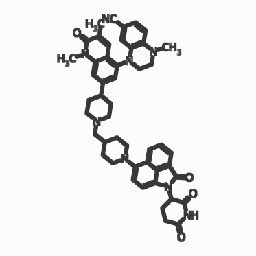 Cc1cc2c(N3CCN(C)c4ccc(C#N)cc43)cc(C3CCN(CC4CCN(c5ccc6c7c(cccc57)C(=O)N6C5CCC(=O)NC5=O)CC4)CC3)cc2n(C)c1=O